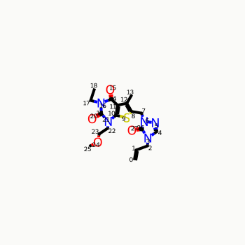 C=CCn1cnn(Cc2sc3c(c2C)c(=O)n(CC)c(=O)n3CCOC)c1=O